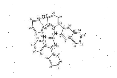 c1ccc(-c2nc(-n3c4cc5ccccc5cc4c4ccc5oc6ccccc6c5c43)nc3ccccc23)cc1